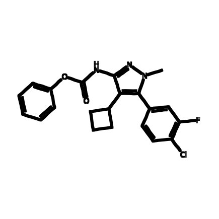 Cn1nc(NC(=O)Oc2ccccc2)c(C2CCC2)c1-c1ccc(Cl)c(F)c1